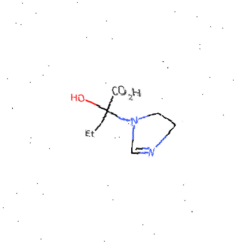 CCC(O)(C(=O)O)N1C=NCC1